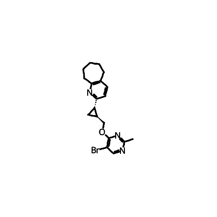 Cc1ncc(Br)c(OC[C@H]2C[C@@H]2c2ccc3c(n2)CCCCC3)n1